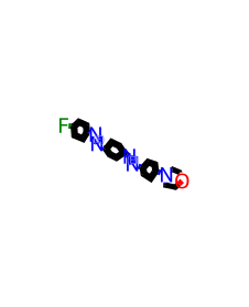 Fc1ccc(/N=N/c2ccc(/N=N/c3ccc(N4CCOCC4)cc3)cc2)cc1